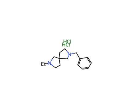 CCN1CCC2(CCN(Cc3ccccc3)C2)C1.Cl.Cl